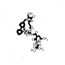 CCCCc1nc(Cl)c(CO)n1Cc1ccc(-c2ccccc2S(=O)(=O)NC(=O)CNC(=O)C(CC(C)C)C(=O)NOC(=O)C(C)(C)C)cc1